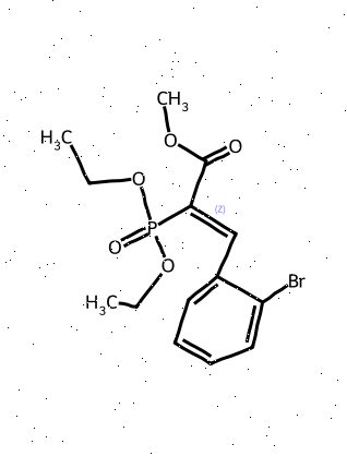 CCOP(=O)(OCC)/C(=C\c1ccccc1Br)C(=O)OC